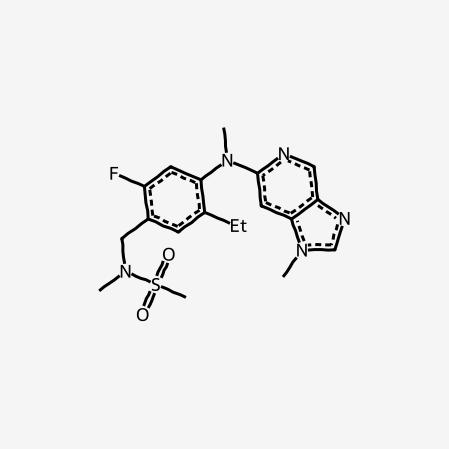 CCc1cc(CN(C)S(C)(=O)=O)c(F)cc1N(C)c1cc2c(cn1)ncn2C